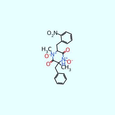 CC1(Cc2ccccc2)C(=O)[N+](C)([O-])C(Cc2ccccc2[N+](=O)[O-])C(=O)[NH+]1[O-]